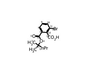 CCCC(C)(C)OC(=O)c1cccc(Br)c1C(=O)O